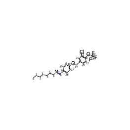 CCCCCCC/N=C/c1ccc(OCc2ccc(OC(F)(F)F)c(Cl)c2)cc1